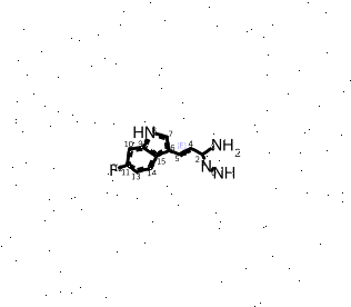 N=NC(N)/C=C/c1c[nH]c2cc(F)ccc12